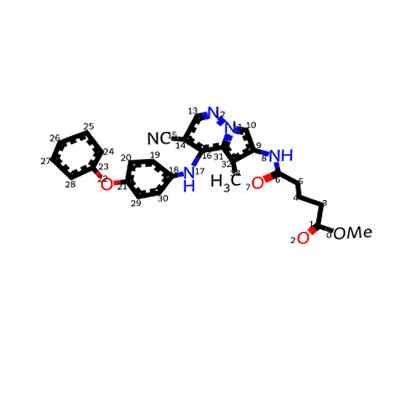 COC(=O)CCCC(=O)Nc1cn2ncc(C#N)c(Nc3ccc(Oc4ccccc4)cc3)c2c1C